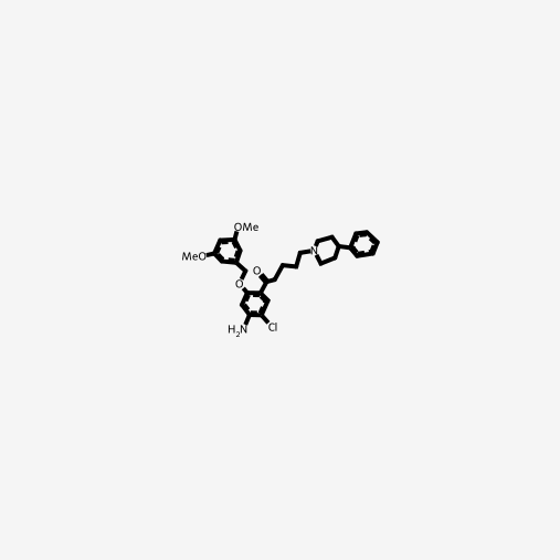 COc1cc(COc2cc(N)c(Cl)cc2C(=O)CCCCN2CCC(c3ccccc3)CC2)cc(OC)c1